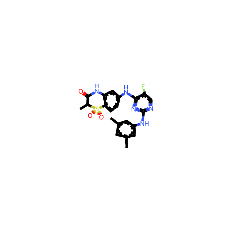 Cc1cc(C)cc(Nc2ncc(F)c(Nc3ccc4c(c3)NC(=O)C(C)S4(=O)=O)n2)c1